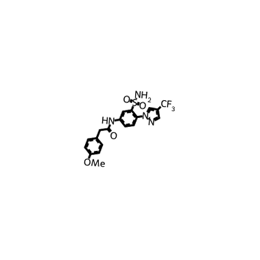 COc1ccc(CC(=O)Nc2ccc(-n3cc(C(F)(F)F)cn3)c(S(N)(=O)=O)c2)cc1